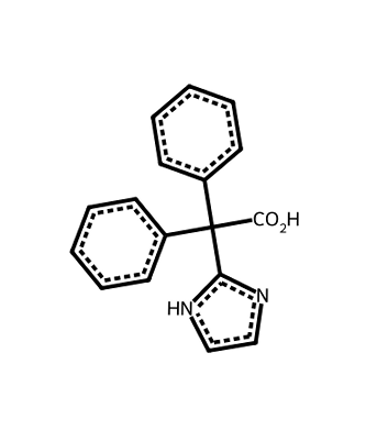 O=C(O)C(c1ccccc1)(c1ccccc1)c1ncc[nH]1